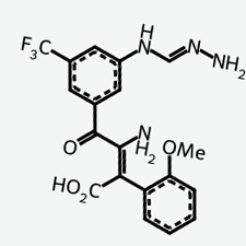 COc1ccccc1C(C(=O)O)=C(N)C(=O)c1cc(NC=NN)cc(C(F)(F)F)c1